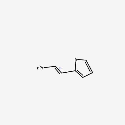 CCC/C=C/c1cccs1